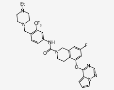 CCN1CCN(Cc2ccc(NC(=O)N3CCc4c(cc(F)cc4Oc4ncnn5cccc45)C3)cc2C(F)(F)F)CC1